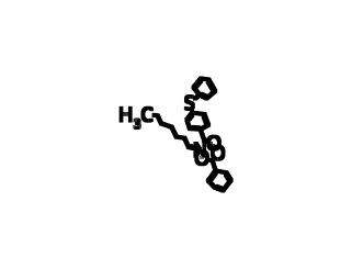 CCCCCCC=[N+](OC(=O)c1ccccc1)C(=O)c1ccc(Sc2ccccc2)cc1